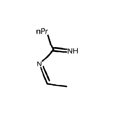 C/C=N\C(=N)CCC